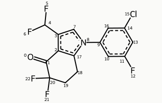 O=C1c2c(C(F)F)cn(-c3cc(F)cc(Cl)c3)c2CCC1(F)F